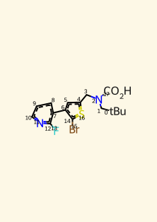 CC(C)(C)CN(Cc1cc(-c2cccnc2F)c(Br)s1)C(=O)O